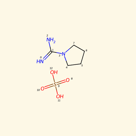 N=C(N)N1CCCC1.O=S(=O)(O)O